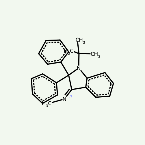 C/N=C1/c2ccccc2N(C(C)(C)C)C1(c1ccccc1)c1ccccc1